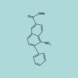 COC(=O)c1ccc2c([N+](=O)[O-])c(-c3ccccc3)ccc2c1